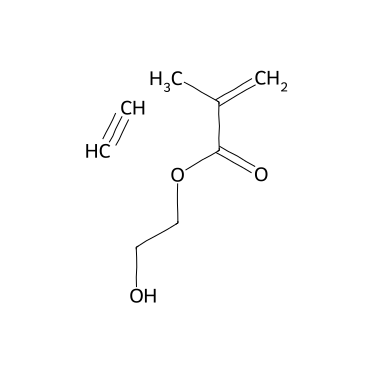 C#C.C=C(C)C(=O)OCCO